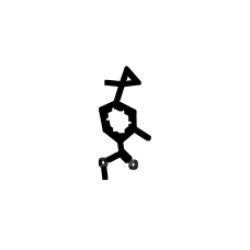 COC(=O)c1ccc(C2(C)CC2)cc1C